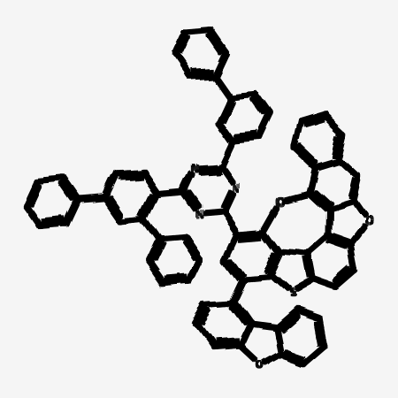 c1ccc(-c2cccc(-c3nc(-c4ccc(-c5ccccc5)cc4-c4ccccc4)nc(-c4cc(-c5cccc6oc7ccccc7c56)c5sc6ccc7oc8cc9ccccc9c9oc4c5c6c7c89)n3)c2)cc1